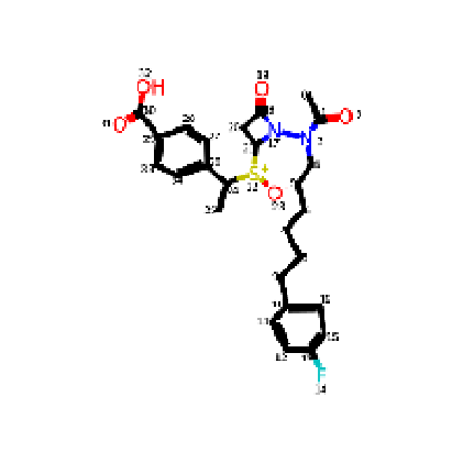 CC(=O)N(CCCCCCc1ccc(F)cc1)N1C(=O)CC1[S+]([O-])C(C)c1ccc(C(=O)O)cc1